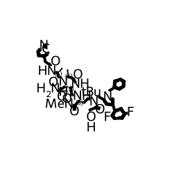 CNC(=O)[C@H](CCN(C(=O)CO)C(c1cc(-c2cc(F)ccc2F)cn1Cc1ccccc1)C(C)(C)C)NC(=O)[C@H](CC(N)=O)NC(=O)[C@H](C)NC(=O)[C@H](C)NC(=O)Cc1ccncc1